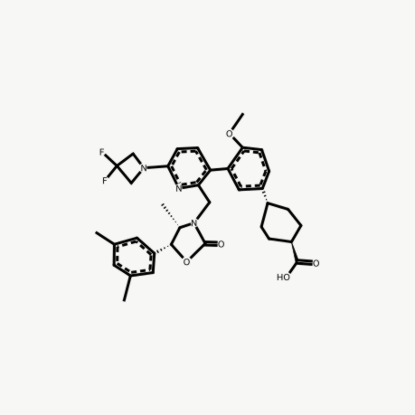 COc1ccc([C@H]2CC[C@H](C(=O)O)CC2)cc1-c1ccc(N2CC(F)(F)C2)nc1CN1C(=O)O[C@H](c2cc(C)cc(C)c2)[C@@H]1C